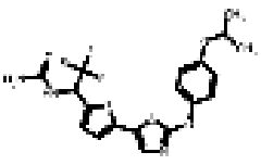 CC(C)Oc1ccc(Oc2ncc(-c3ccc(C(NC(N)=O)C(F)(F)F)s3)s2)cc1